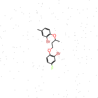 Cc1ccc(OC(C)CCOc2ccc(F)cc2Br)c(Br)c1